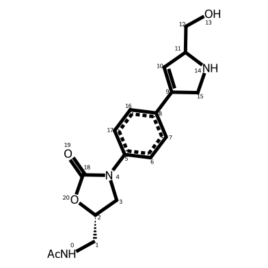 CC(=O)NC[C@H]1CN(c2ccc(C3=CC(CO)NC3)cc2)C(=O)O1